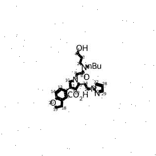 CCCCN(CCCO)C(=O)CN1C[C@H](c2ccc3c(c2)CCO3)[C@@H](C(=O)O)[C@@H]1CCn1cccn1